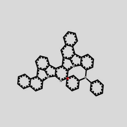 c1ccc(N(c2ccccc2)c2cccc3c4c5ccccc5cc5c6c7c8cccc9c%10c%11ccccc%11ccc%10n(c7ncc6n(c23)c54)c98)cc1